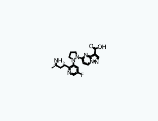 C[C@@H](N)CCc1ncc(F)cc1N1CCCN1c1ccn2ncc(C(=O)O)c2n1